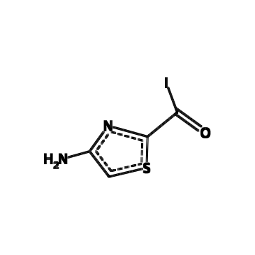 Nc1csc(C(=O)I)n1